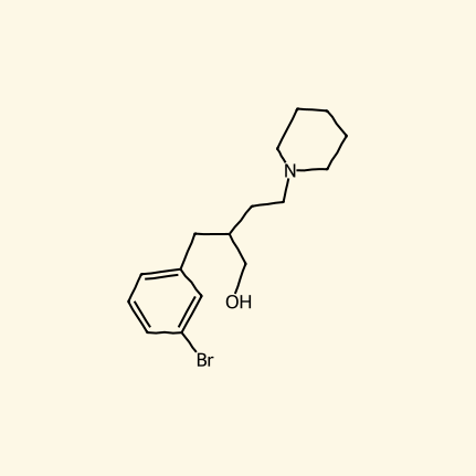 OCC(CCN1CCCCC1)Cc1cccc(Br)c1